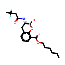 CCCCCCOC(=O)c1cccc2c1OB(O)[C@@H](NC(=O)CC(C)(F)F)C2